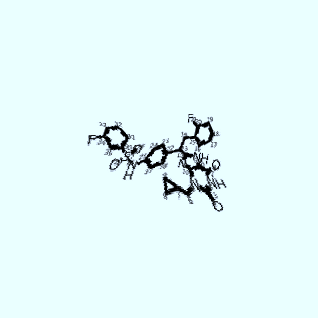 O=c1[nH]c(=O)n(CC2CC2)c2nc(C(Cc3ccccc3F)c3ccc(NS(=O)(=O)c4cccc(F)c4)cc3)[nH]c12